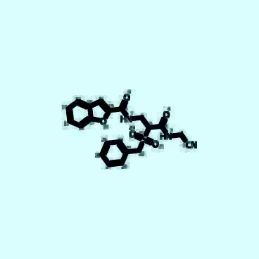 N#CCNC(=O)C(CNC(=O)c1cc2ccccc2o1)S(=O)(=O)Cc1ccccc1